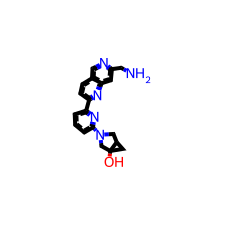 NCc1cc2nc(-c3cccc(N4CC5CC5(O)C4)n3)ccc2cn1